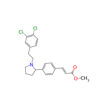 COC(=O)C=Cc1ccc(C2CCCN2CCc2ccc(Cl)c(Cl)c2)cc1